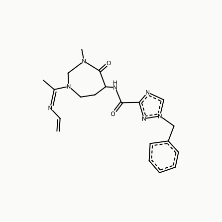 C=C/N=C(/C)N1CCC(NC(=O)c2ncn(Cc3ccccc3)n2)C(=O)N(C)C1